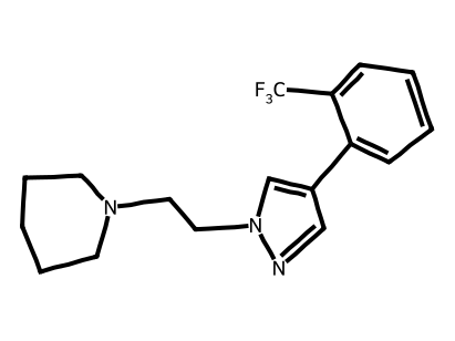 FC(F)(F)c1ccccc1-c1cnn(CCN2CCCCC2)c1